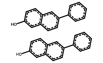 Oc1ccc2cc(-c3ccccc3)ccc2c1.Oc1ccc2cc(-c3ccccc3)ccc2c1